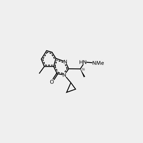 CNN[C@@H](C)c1nc2cccc(C)c2c(=O)n1C1CC1